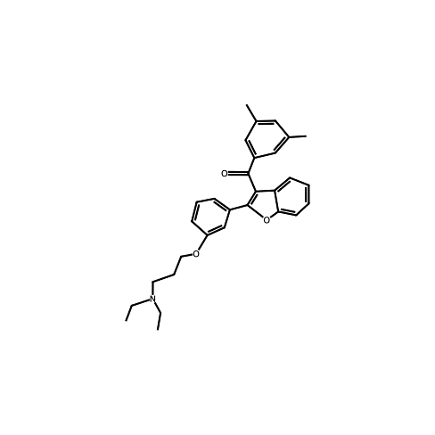 CCN(CC)CCCOc1cccc(-c2oc3ccccc3c2C(=O)c2cc(C)cc(C)c2)c1